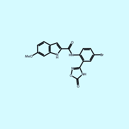 COc1ccc2cc(C(=O)Nc3ccc(Br)cc3-c3noc(=O)[nH]3)[nH]c2c1